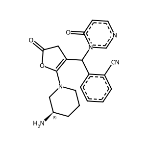 N#Cc1ccccc1C(C1=C(N2CCC[C@@H](N)C2)OC(=O)C1)n1cnccc1=O